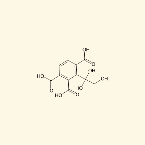 O=C(O)c1ccc(C(=O)O)c(C(O)(O)CO)c1C(=O)O